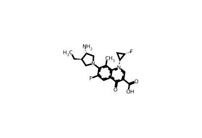 CC[C@@H]1CN(c2c(F)cc3c(=O)c(C(=O)O)cn([C@@H]4C[C@@H]4F)c3c2C)C[C@H]1N